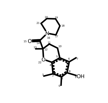 Cc1c(C)c2c(c(C)c1O)CCC(C)(C(=O)N1CCCCC1)O2